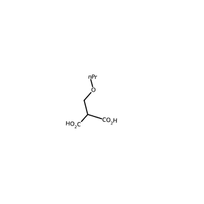 CCCOCC(C(=O)O)C(=O)O